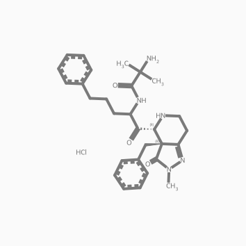 CN1N=C2CCN[C@@H](C(=O)C(CCCc3ccccc3)NC(=O)C(C)(C)N)[C@@]2(Cc2ccccc2)C1=O.Cl